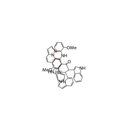 COc1ccccc1NC(c1cccc2ccnn12)C(C(=O)C(c1c[nH]c2ccccc12)C(Nc1ccccc1OC)c1cccc2ccnn12)c1c[nH]c2ccccc12